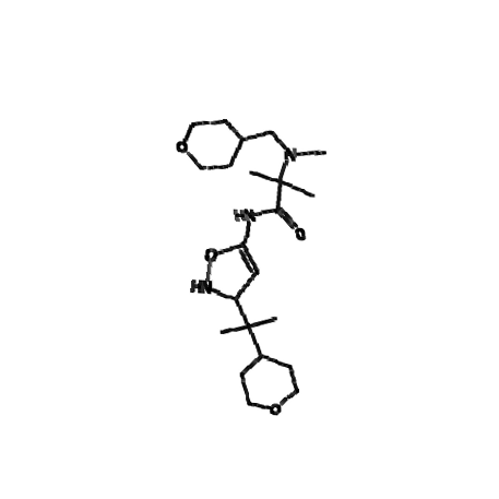 CN(CC1CCOCC1)C(C)(C)C(=O)NC1=CC(C(C)(C)C2CCOCC2)NO1